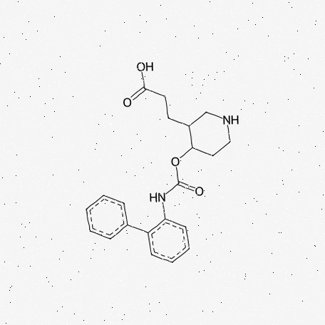 O=C(O)CCC1CNCCC1OC(=O)Nc1ccccc1-c1ccccc1